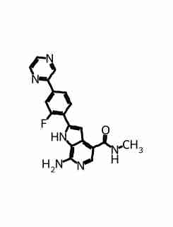 CNC(=O)c1cnc(N)c2[nH]c(-c3ccc(-c4cnccn4)cc3F)cc12